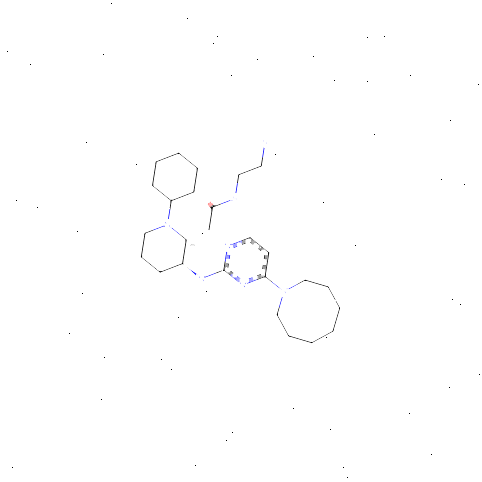 NCCNC(=O)C[C@@H]1[C@@H](Nc2nccc(N3CCCCCCC3)n2)CCCN1C1CCCCC1